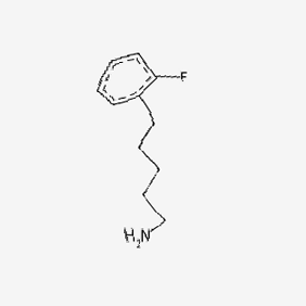 NCCCCCc1ccccc1F